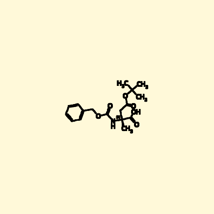 CC(C)(C)OC(=O)C[C@@](C)(NC(=O)OCc1ccccc1)C(=O)O